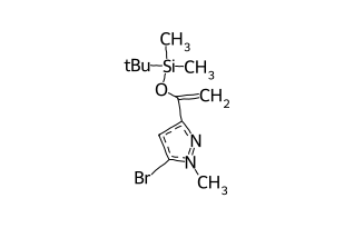 C=C(O[Si](C)(C)C(C)(C)C)c1cc(Br)n(C)n1